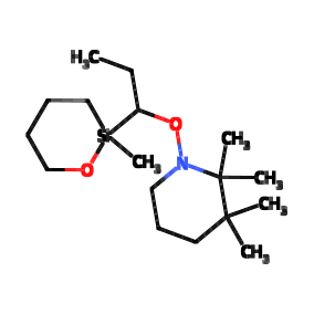 CCC(ON1CCCC(C)(C)C1(C)C)[Si]1(C)CCCCO1